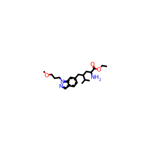 CCOC(=O)C(N)CC(Cc1ccc2cnn(CCCOC)c2c1)C(C)C